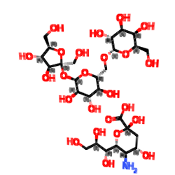 N[C@H]1[C@H]([C@H](O)[C@H](O)CO)O[C@](O)(C(=O)O)C[C@@H]1O.OC[C@H]1O[C@H](OC[C@H]2O[C@H](O[C@]3(CO)O[C@H](CO)[C@@H](O)[C@@H]3O)[C@H](O)[C@@H](O)[C@@H]2O)[C@H](O)[C@@H](O)[C@H]1O